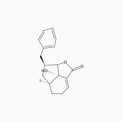 O=C1OC2[C@H](Cc3ccccc3)C[C@]3(I)CCC=C1[C@]23O